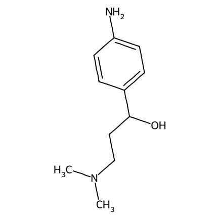 CN(C)CCC(O)c1ccc(N)cc1